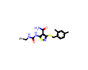 Cc1ccc(CSc2nsc(NC(=O)NCC(C)C)c2C(N)=O)c(C)c1